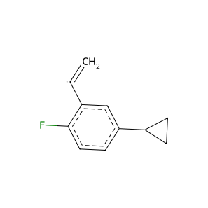 C=[C]c1cc(C2CC2)ccc1F